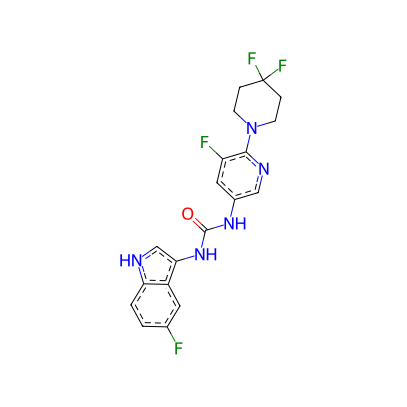 O=C(Nc1cnc(N2CCC(F)(F)CC2)c(F)c1)Nc1c[nH]c2ccc(F)cc12